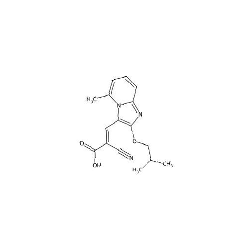 Cc1cccc2nc(OCC(C)C)c(C=C(C#N)C(=O)O)n12